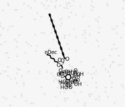 C#CC#CC#CC#CC#CC#CC#CC#CC(=O)OC[C@H](COP(=O)(O)OC1C(O)[C@H](OP(=O)(O)O)[C@H](OP(=O)(O)O)C(OP(=O)(O)O)[C@@H]1O)OC(=O)CCCCCCCCCCCCCCC